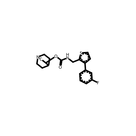 O=C(NCc1sccc1-c1cccc(F)c1)OC1CN2CCC1CC2